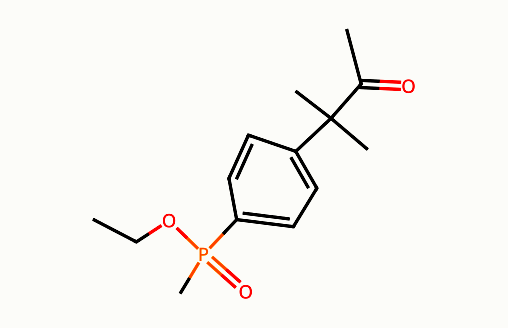 CCOP(C)(=O)c1ccc(C(C)(C)C(C)=O)cc1